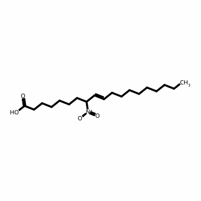 CCCCCCCCC/C=C/C(CCCCCCC(=O)O)[N+](=O)[O-]